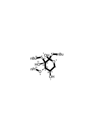 CCCCSC1(O)OC[C@@H](O)[C@H](OCCC)[C@]1(O)SCCCC